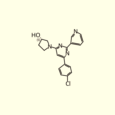 O[C@H]1CCN(c2cc(-c3ccc(Cl)cc3)nc(-c3cccnc3)n2)C1